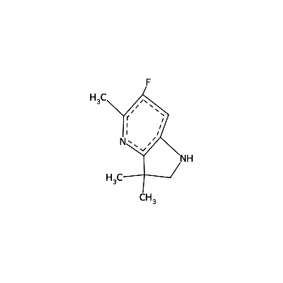 Cc1nc2c(cc1F)NCC2(C)C